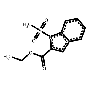 CCOC(=O)c1cc2ccccc2n1S(C)(=O)=O